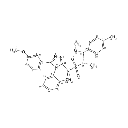 COc1cccc(-c2nnc(NS(=O)(=O)[C@@H](C)[C@H](OC)c3ncc(C)cn3)n2-c2ccccc2C)n1